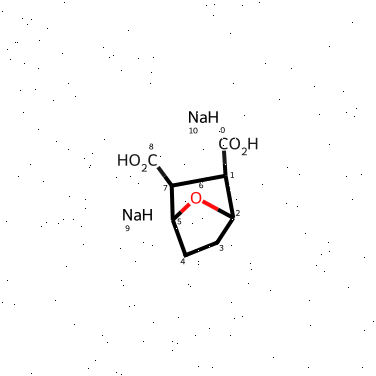 O=C(O)C1C2CCC(O2)C1C(=O)O.[NaH].[NaH]